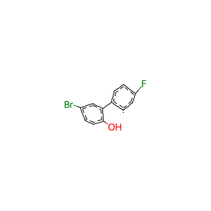 Oc1ccc(Br)cc1-c1[c]cc(F)cc1